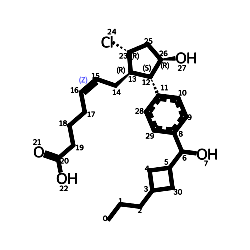 CCCC1CC(C(O)c2ccc([C@@H]3[C@@H](C/C=C\CCCC(=O)O)[C@H](Cl)C[C@H]3O)cc2)C1